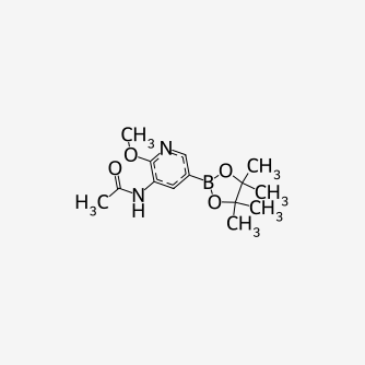 COc1ncc(B2OC(C)(C)C(C)(C)O2)cc1NC(C)=O